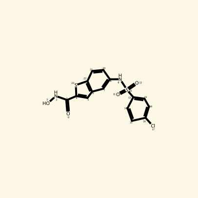 O=C(NO)c1cc2cc(NS(=O)(=O)c3ccc(Cl)cc3)ccc2s1